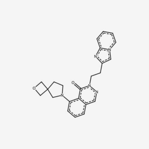 O=c1c2c(N3CCC4(COC4)C3)cccc2cnn1CCc1cn2ccccc2n1